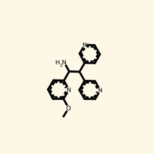 COc1cccc(C(N)C(c2cccnc2)c2cccnc2)n1